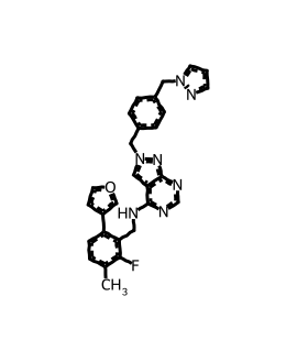 Cc1ccc(-c2ccoc2)c(CNc2ncnc3nn(Cc4ccc(Cn5cccn5)cc4)cc23)c1F